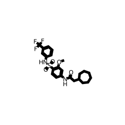 COc1cc(NC(=O)CC2CCCCCC2)ccc1S(=O)(=O)Nc1cccc(C(F)(F)F)c1